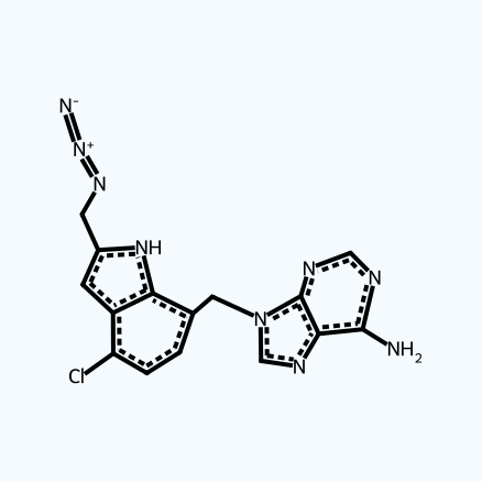 [N-]=[N+]=NCc1cc2c(Cl)ccc(Cn3cnc4c(N)ncnc43)c2[nH]1